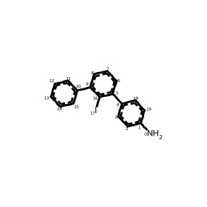 Nc1ccc(-c2cccc(-c3ccccc3)c2I)cc1